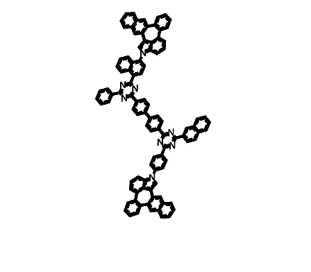 c1ccc(-c2nc(-c3ccc(-c4ccc(-c5nc(-c6ccc(-n7cc8c9c(cccc97)-c7ccccc7-c7cc9ccccc9cc7-8)cc6)nc(-c6ccc7ccccc7c6)n5)cc4)cc3)nc(-c3ccc(-n4cc5c6c(cccc64)-c4ccccc4-c4cc6ccccc6cc4-5)c4ccccc34)n2)cc1